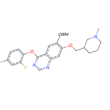 COc1cc2c(Oc3ccc(Cl)cc3F)ncnc2cc1OCC1CCCN(C)C1